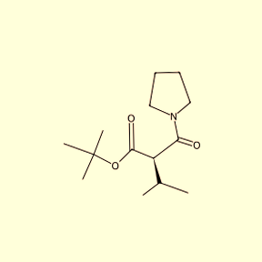 CC(C)[C@@H](C(=O)OC(C)(C)C)C(=O)N1CCCC1